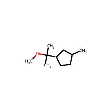 COC(C)(C)[C@@H]1CC[C](C)C1